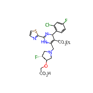 CCOC(=O)C1=C(CN2CC(OCC(=O)O)[C@H](F)C2)NC(c2nccs2)=NC1c1ccc(F)cc1Cl